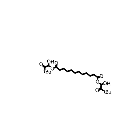 CC(C)(C)C(=O)C(O)OC(=O)CCCCCCCCCCC(=O)OC(O)C(=O)C(C)(C)C